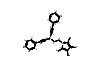 Cc1c(C)c(C)p(CCP(C#Cc2ccccc2)C#Cc2ccccc2)c1C